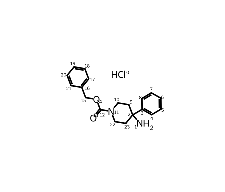 Cl.NC1(c2ccccc2)CCN(C(=O)OCc2ccccc2)CC1